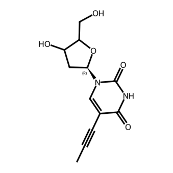 CC#Cc1cn([C@H]2CC(O)C(CO)O2)c(=O)[nH]c1=O